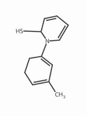 CC1=CCCC(N2C=CC=CC2S)=C1